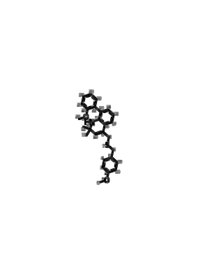 COc1ccc(CSCC2=CC(C)(C)Nc3c2cccc3-c2ccccc2OC)cc1